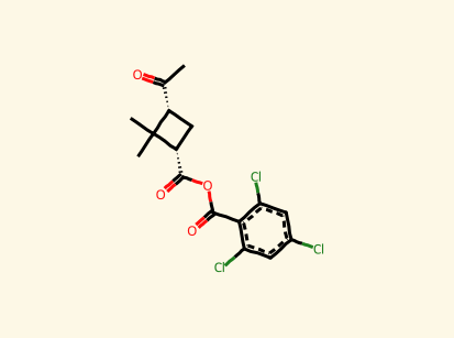 CC(=O)[C@@H]1C[C@H](C(=O)OC(=O)c2c(Cl)cc(Cl)cc2Cl)C1(C)C